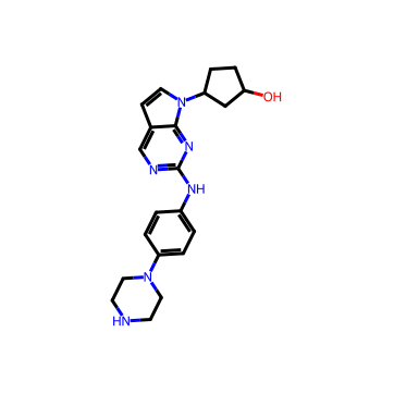 OC1CCC(n2ccc3cnc(Nc4ccc(N5CCNCC5)cc4)nc32)C1